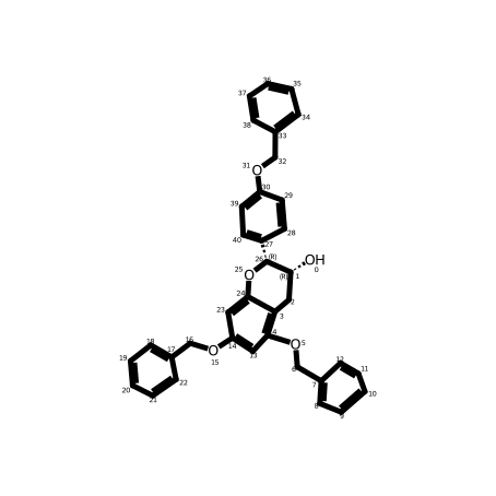 O[C@@H]1Cc2c(OCc3ccccc3)cc(OCc3ccccc3)cc2O[C@@H]1c1ccc(OCc2ccccc2)cc1